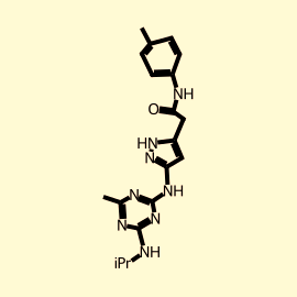 Cc1ccc(NC(=O)Cc2cc(Nc3nc(C)nc(NC(C)C)n3)n[nH]2)cc1